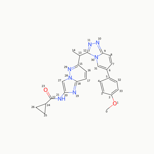 COc1ccc(-c2ccc3nnc(C(C)c4ccc5nc(NC(=O)C6CC6)cn5n4)n3c2)cc1